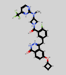 CN(c1nccc(C(F)(F)F)n1)C1CN(C(=O)c2cc(Cc3n[nH]c(=O)c4ccc(OC5CCC5)cc34)ccc2F)C1